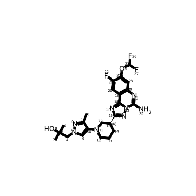 Cc1nn(CC(C)(C)O)cc1N1CCC[C@@H](c2nc3c4cc(F)c(OC(F)F)cc4nc(N)n3n2)C1